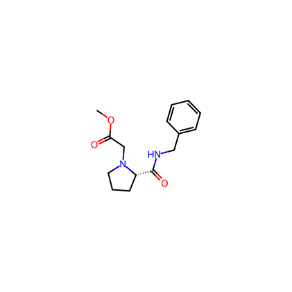 COC(=O)CN1CCC[C@H]1C(=O)NCc1ccccc1